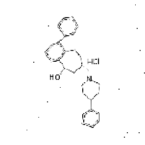 Cl.O[C@H]1C[C@@H](CN2CCC(c3ccccc3)CC2)CCc2c(-c3ccccc3)cccc21